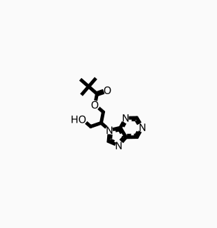 CC(C)(C)C(=O)OCC(CO)n1cnc2cncnc21